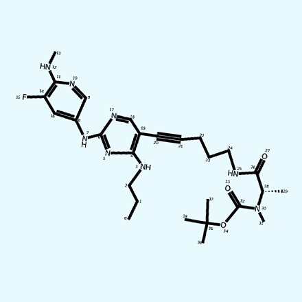 CCCNc1nc(Nc2cnc(NC)c(F)c2)ncc1C#CCCCNC(=O)[C@H](C)N(C)C(=O)OC(C)(C)C